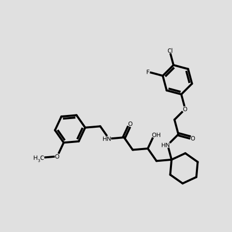 COc1cccc(CNC(=O)CC(O)CC2(NC(=O)COc3ccc(Cl)c(F)c3)CCCCC2)c1